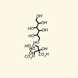 O=C(O)CC(O)(CC(=O)O)C(=O)O.O=NO.OCC(O)C(O)C(O)C(O)CO